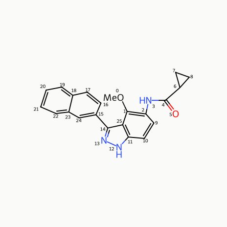 COc1c(NC(=O)C2CC2)ccc2[nH]nc(-c3ccc4ccccc4c3)c12